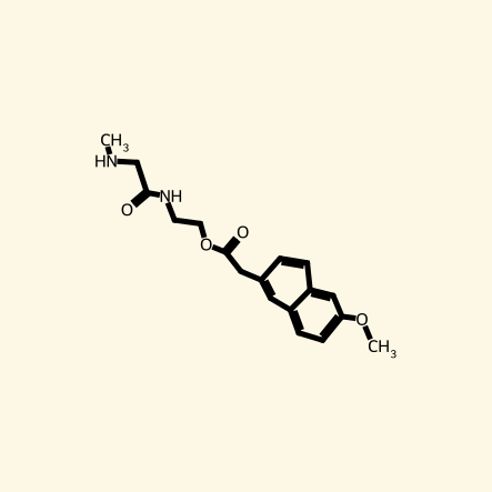 CNCC(=O)NCCOC(=O)Cc1ccc2cc(OC)ccc2c1